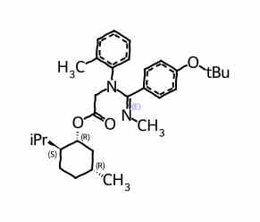 C/N=C(\c1ccc(OC(C)(C)C)cc1)N(CC(=O)O[C@@H]1C[C@H](C)CC[C@H]1C(C)C)c1ccccc1C